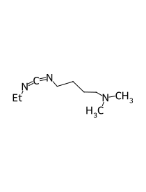 CCN=C=NCCCCN(C)C